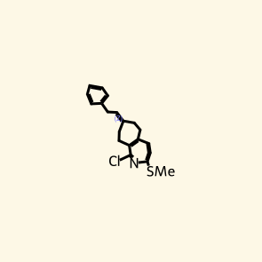 CSC1=C=CC2=C(CC/C(=C\Cc3ccccc3)CC2)C(Cl)=N1